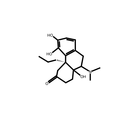 CCC[C@@]12CC(=O)CCC1(O)C(N(C)C)Cc1ccc(O)c(O)c12